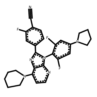 N#Cc1ccc(-c2nc3c(N4CCCCC4)ccnc3n2-c2c(F)cc(N3CCCC3)cc2F)cc1F